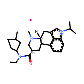 CCN(C(=O)[C@@H]1CC2c3cccc4c3c(cn4C(C)C)C[C@H]2N(C)C1)C1CCC(C)C1.I